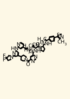 Cc1ncsc1-c1ccc(C(C)NC(=O)C2CCCN2C(=O)C(NC(=O)c2cc(C(=O)N3CCC(c4cc(Nc5cc(C#N)ccn5)nc(N5CCC(F)(F)C5)c4)CC3)ncn2)C(C)(C)C)cc1